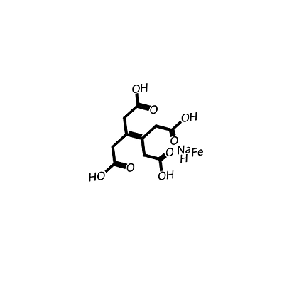 O=C(O)CC(CC(=O)O)=C(CC(=O)O)CC(=O)O.[Fe].[NaH]